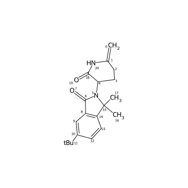 C=C1CCC(N2C(=O)c3cc(C(C)(C)C)ccc3C2(C)C)C(=O)N1